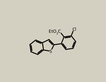 CCOC(=O)c1c(Cl)cccc1-c1cc2ccccc2s1